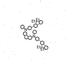 CCC1(CC)c2ccccc2-c2ccc(-c3ccc(N(c4ccccc4)c4ccc5ccc6ccc(N(c7ccccc7)c7ccc(-c8ccc9c(c8)C(CC)(CC)c8ccccc8-9)cc7)cc6c5c4)cc3)cc21